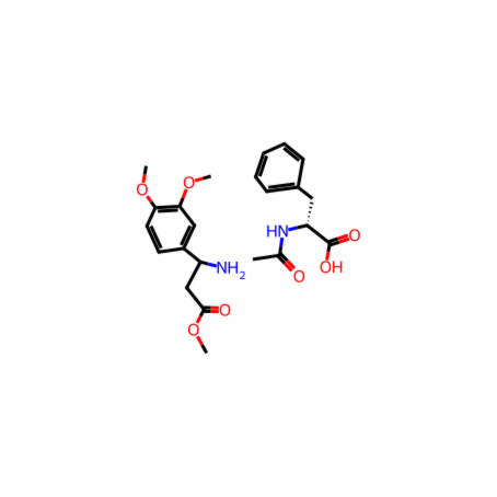 CC(=O)N[C@H](Cc1ccccc1)C(=O)O.COC(=O)CC(N)c1ccc(OC)c(OC)c1